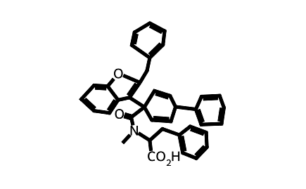 CN(C(=O)C1(c2c(Cc3ccccc3)oc3ccccc23)C=CC(c2ccccc2)C=C1)C(Cc1ccccc1)C(=O)O